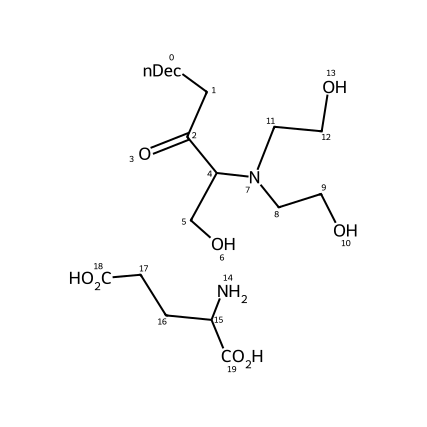 CCCCCCCCCCCC(=O)C(CO)N(CCO)CCO.NC(CCC(=O)O)C(=O)O